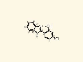 Oc1cc(Cl)ccc1-c1nc2ccccc2[nH]1